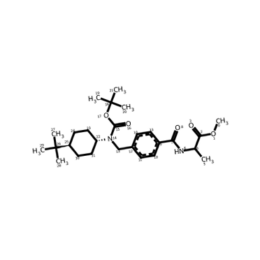 COC(=O)C(C)NC(=O)c1ccc(CN(C(=O)OC(C)(C)C)[C@H]2CC[C@H](C(C)(C)C)CC2)cc1